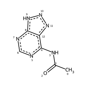 CC(=O)Nc1ncnc2[nH]nnc12